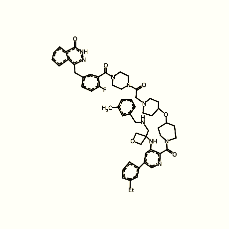 CCc1cccc(-c2cnc(C(=O)N3CCC(OC4CCN(CC(=O)N5CCN(C(=O)c6cc(Cc7n[nH]c(=O)c8ccccc78)ccc6F)CC5)CC4)CC3)c(NC3(CNCc4cccc(C)c4)COC3)c2)c1